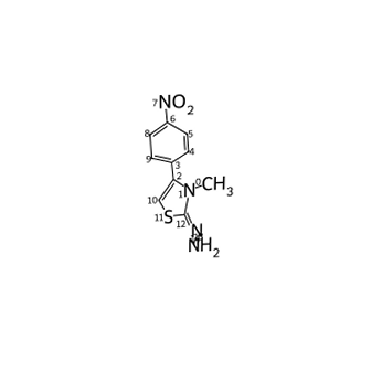 Cn1c(-c2ccc([N+](=O)[O-])cc2)cs/c1=N\N